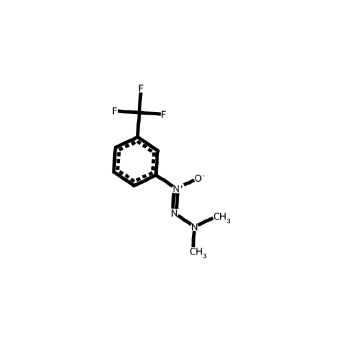 CN(C)N=[N+]([O-])c1cccc(C(F)(F)F)c1